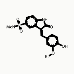 CCOc1cc(C=C2C(=O)Nc3ccc(S(=O)(=O)NC)cc32)ccc1O